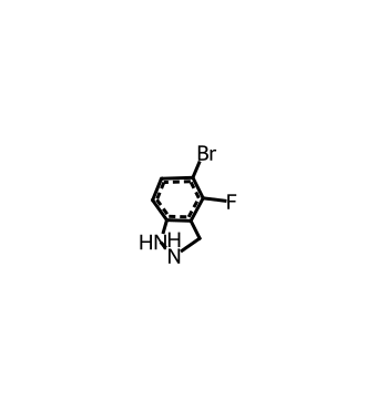 Fc1c(Br)ccc2c1CNN2